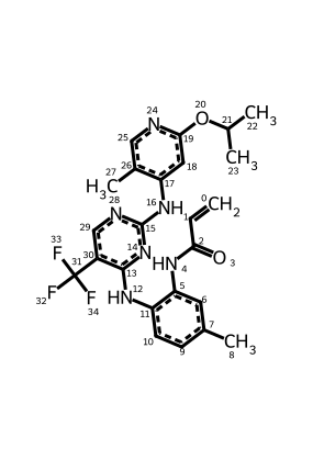 C=CC(=O)Nc1cc(C)ccc1Nc1nc(Nc2cc(OC(C)C)ncc2C)ncc1C(F)(F)F